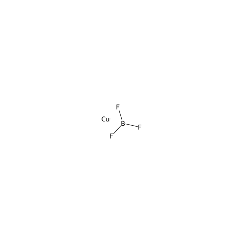 FB(F)F.[Cu]